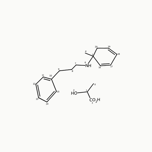 CC(O)C(=O)O.CC1(NCCCc2ccccc2)C=CC=CC1